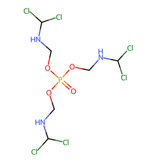 O=P(OCNC(Cl)Cl)(OCNC(Cl)Cl)OCNC(Cl)Cl